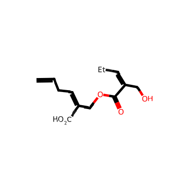 C=CCC=C(COC(=O)C(=CCC)CO)C(=O)O